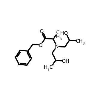 CC(O)CN(CC(C)O)C(C)C(=O)OCc1ccccc1